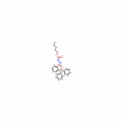 CCCCCOC(=O)/N=N/C(=O)O[Si](c1ccccc1)(c1ccccc1)c1ccccc1